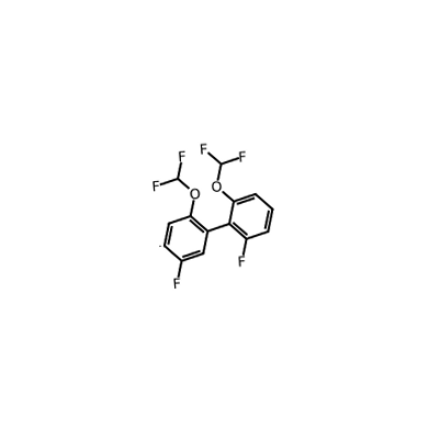 Fc1[c]cc(OC(F)F)c(-c2c(F)cccc2OC(F)F)c1